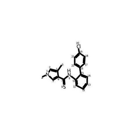 Cc1cn(C)cc1C(=S)Nc1ccccc1-c1ccc(Cl)cc1